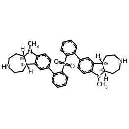 CN1c2ccc(-c3ccccc3S(=O)(=O)c3ccccc3-c3ccc4c(c3)[C@@H]3CCNCC[C@@H]3N4C)cc2[C@@H]2CCNCC[C@@H]21